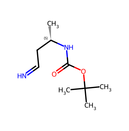 C[C@@H](CC=N)NC(=O)OC(C)(C)C